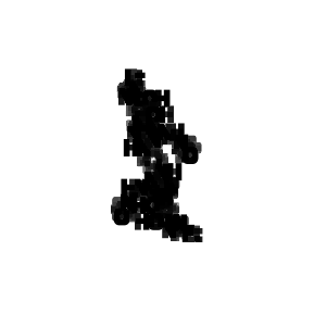 CCc1cnn([C@H]2C[C@@H](n3cnc4c(N[C@H]5CC[C@@H](Nc6nc(NCCN7CCOCC7)nc7c6ncn7[C@@H]6C[C@H](n7ncc(CC)n7)[C@@H](O)[C@H]6O)CC5)nc(NCCN5CCOCC5)nc43)[C@H](O)[C@@H]2O)n1